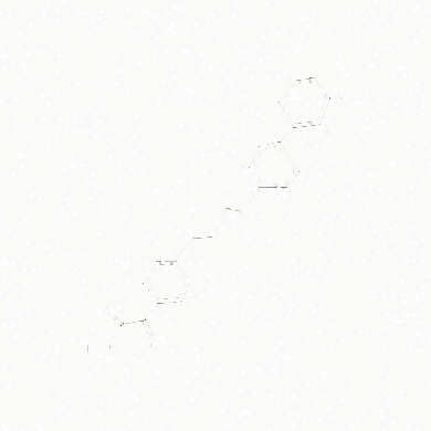 O=C(O)C(=O)c1ccc(OCCOc2ccc(-c3ccccc3)cc2)cc1